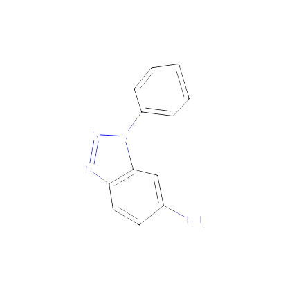 Nc1ccc2nnn(-c3ccccc3)c2c1